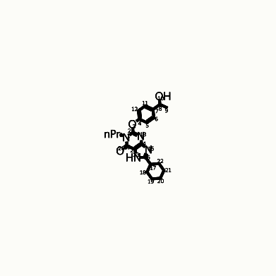 CCCn1c(Oc2ccc(C(C)O)cc2)nc2nc(C3CCCCC3)[nH]c2c1=O